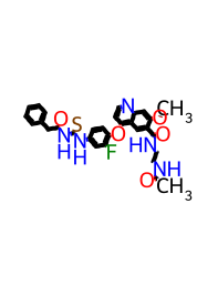 COc1cc2nccc(Oc3ccc(NC(=S)NC(=O)Cc4ccccc4)cc3F)c2cc1C(=O)NCCNC(C)=O